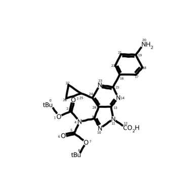 CC(C)(C)OC(=O)N(C(=O)OC(C)(C)C)c1nn(C(=O)O)c2nc(-c3ccc(N)cc3)nc(C3CC3)c12